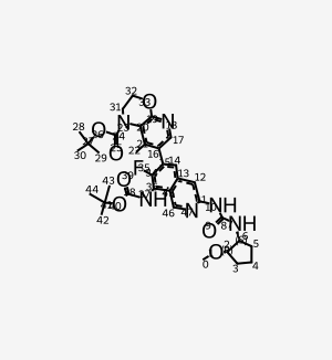 CO[C@@H]1CCC[C@@H]1NC(=O)Nc1cc2cc(-c3cnc4c(c3C)N(C(=O)OC(C)(C)C)CCO4)c(F)c(NC(=O)OC(C)(C)C)c2cn1